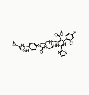 COC(=O)C1=C(CN2CCN3C(=O)N(c4ccc(-c5nc(C6CC6)c[nH]5)cc4)CC3C2)NC(c2nccs2)=NC1c1ccc(F)cc1Cl